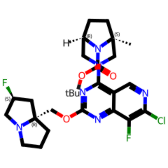 CC(C)(C)OC(=O)N1[C@@H]2CC[C@@]1(C)CN(c1nc(OC[C@]34CCCN3C[C@@H](F)C4)nc3c(F)c(Cl)ncc13)C2